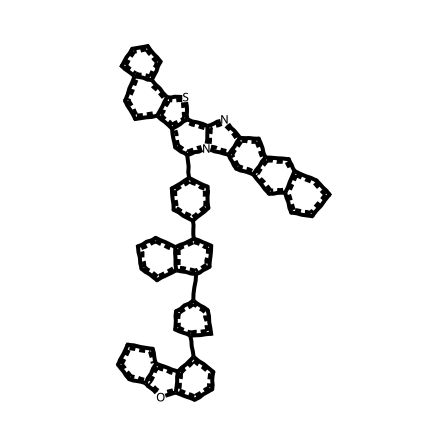 c1ccc2cc3cc4c(cc3cc2c1)nc1c2sc3c5ccccc5ccc3c2cc(-c2ccc(-c3ccc(-c5ccc(-c6cccc7oc8ccccc8c67)cc5)c5ccccc35)cc2)n41